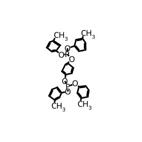 Cc1cccc(OP(Oc2ccc(OP(Oc3cccc(C)c3)Oc3cccc(C)c3)cc2)Oc2cccc(C)c2)c1